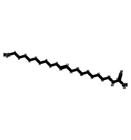 CCCCCCCCCCC=CCCCCCCCCOC(=O)O